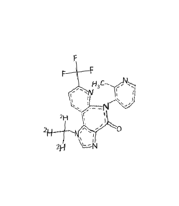 [2H]C([2H])([2H])n1cnc2c(=O)n(-c3cccnc3C)c3nc(C(F)(F)F)ccc3c21